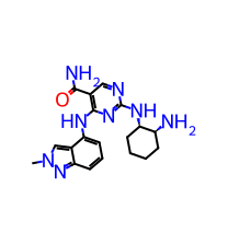 Cn1cc2c(Nc3nc(N[C@@H]4CCCC[C@@H]4N)ncc3C(N)=O)cccc2n1